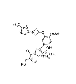 COc1ccc([C@@H]2CN(C(=O)[C@@H](O)CO)C[C@@]2(C)[C@@H](C)O)cc1OC1CN(c2cnc(C)s2)C1